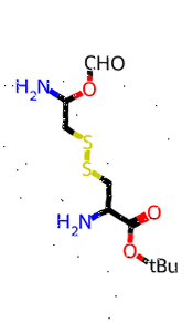 CC(C)(C)OC(=O)C(N)CSSCC(N)OC=O